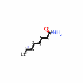 CC/C=C/CCCCC(N)=O